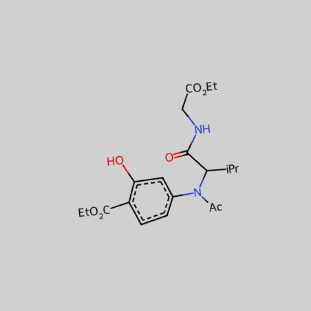 CCOC(=O)CNC(=O)C(C(C)C)N(C(C)=O)c1ccc(C(=O)OCC)c(O)c1